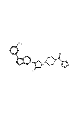 O=C(c1cscn1)N1CCN([C@@H]2CC(=O)N(c3ccc4c(ccn4-c4cc(C(F)(F)F)ccn4)c3)C2)CC1